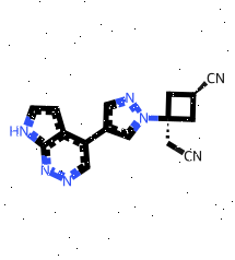 N#CC[C@]1(n2cc(-c3cnnc4[nH]ccc34)cn2)C[C@@H](C#N)C1